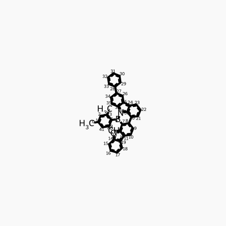 Cc1cc(C)c(B2c3c(ccc4c3oc3ccccc34)-c3cccc4c5cc(-c6ccccc6)ccc5n2c34)c(C)c1